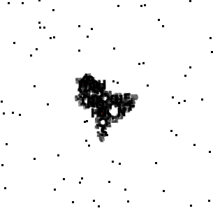 CCSc1ccc2[nH]c3c(c2c1)CC[N@]1C[C@@H](C[C@@H](C(C)(F)F)C1)C[C@]3(C(=O)OC)c1cc2c(cc1OC)N(C)[C@H]1[C@@](O)(C(=O)OC)[C@H](OC(C)=O)[C@]3(CC)C=CCN4CC[C@]21[C@@H]43